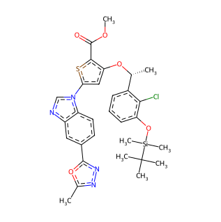 COC(=O)c1sc(-n2cnc3cc(-c4nnc(C)o4)ccc32)cc1O[C@H](C)c1cccc(O[Si](C)(C)C(C)(C)C)c1Cl